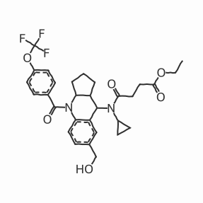 CCOC(=O)CCC(=O)N(C1CC1)C1c2cc(CO)ccc2N(C(=O)c2ccc(OC(F)(F)F)cc2)C2CCCC21